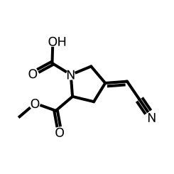 COC(=O)C1C/C(=C\C#N)CN1C(=O)O